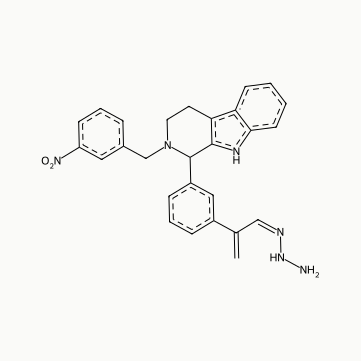 C=C(/C=N\NN)c1cccc(C2c3[nH]c4ccccc4c3CCN2Cc2cccc([N+](=O)[O-])c2)c1